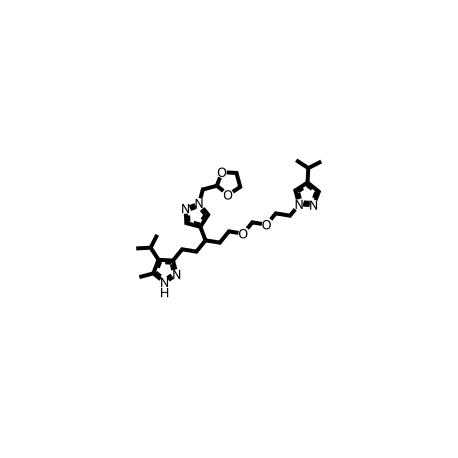 Cc1[nH]nc(CCC(CCOCOCCn2cc(C(C)C)cn2)c2cnn(CC3OCCO3)c2)c1C(C)C